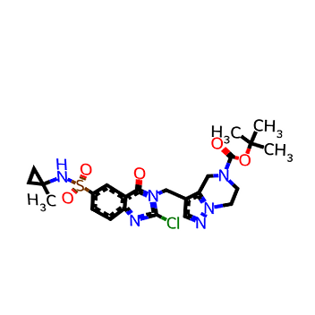 CC1(NS(=O)(=O)c2ccc3nc(Cl)n(Cc4cnn5c4CN(C(=O)OC(C)(C)C)CC5)c(=O)c3c2)CC1